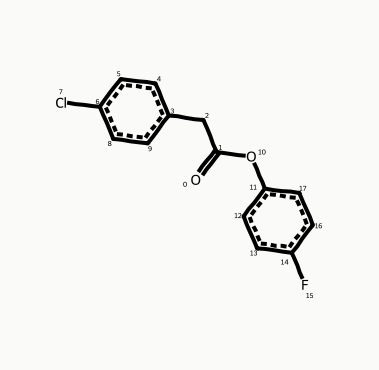 O=C(Cc1ccc(Cl)cc1)Oc1ccc(F)cc1